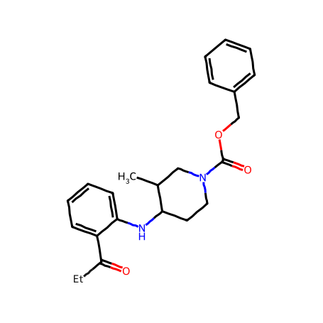 CCC(=O)c1ccccc1NC1CCN(C(=O)OCc2ccccc2)CC1C